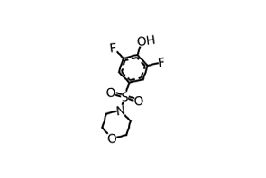 O=S(=O)(c1cc(F)c(O)c(F)c1)N1CCOCC1